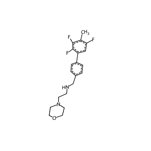 Cc1c(F)cc(-c2ccc(CNCCN3CCOCC3)cc2)c(F)c1F